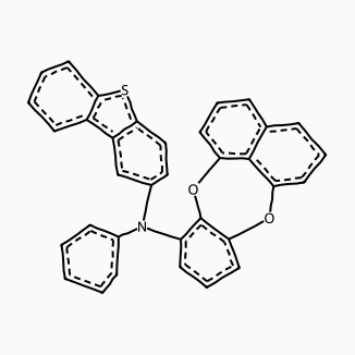 c1ccc(N(c2ccc3sc4ccccc4c3c2)c2cccc3c2Oc2cccc4cccc(c24)O3)cc1